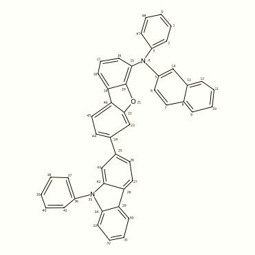 c1ccc(N(c2ccc3ccccc3c2)c2cccc3c2oc2cc(-c4ccc5c6ccccc6n(-c6ccccc6)c5c4)ccc23)cc1